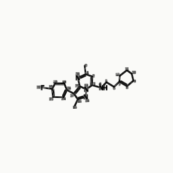 Cc1cc(NCCC2=CCCCC2)n2nc(C)c(-c3ccc(F)cc3)c2n1